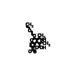 CCCOCCOC(=O)C1=C(C)NC(C)=C(C(=O)O)C1c1cccc([N+](=O)[O-])c1